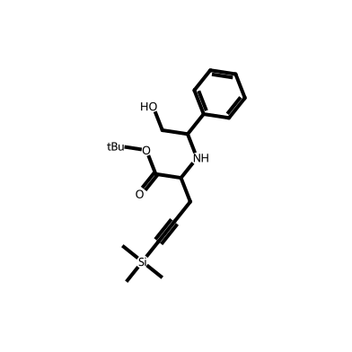 CC(C)(C)OC(=O)C(CC#C[Si](C)(C)C)NC(CO)c1ccccc1